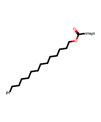 CCCCCCCC(=O)OCCCCCCCCCCCCCC(C)C